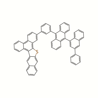 c1ccc(-c2cc(-c3c4ccccc4c(-c4cccc(-c5ccc6c7ccccc7c7c8cc9ccccc9cc8sc7c6c5)c4)c4ccccc34)c3ccccc3c2)cc1